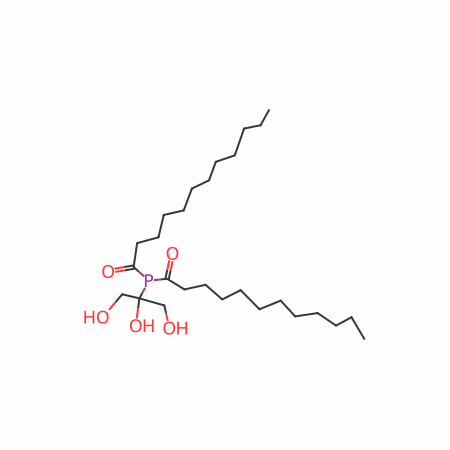 CCCCCCCCCCCC(=O)P(C(=O)CCCCCCCCCCC)C(O)(CO)CO